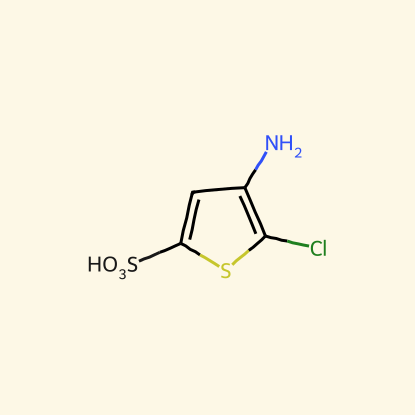 Nc1cc(S(=O)(=O)O)sc1Cl